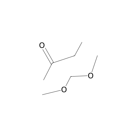 CCC(C)=O.COCOC